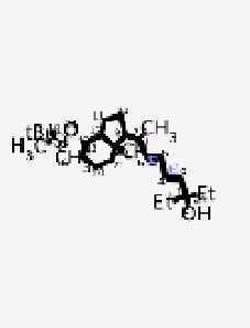 CCC(O)(/C=C/C=C/[C@@H](C)C1CCC2[C@@H](O[Si](C)(C)C(C)(C)C)CCCC12C)CC